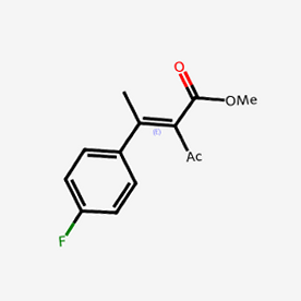 COC(=O)/C(C(C)=O)=C(\C)c1ccc(F)cc1